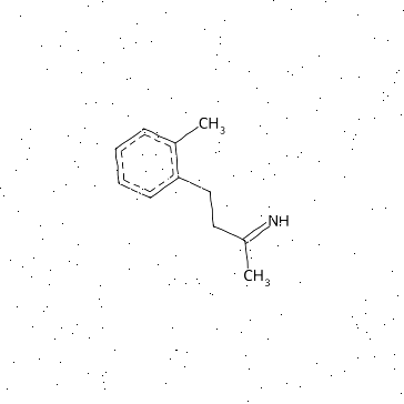 CC(=N)CCc1ccccc1C